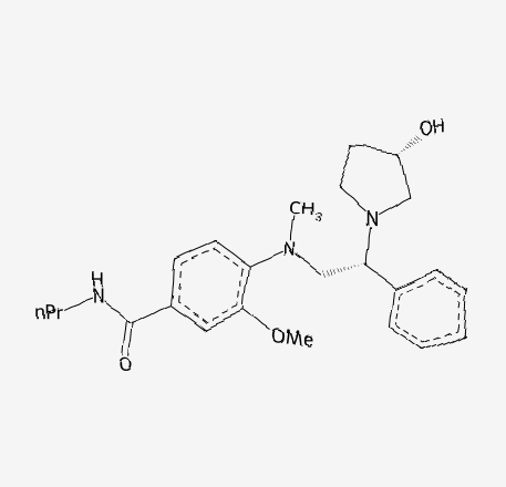 CCCNC(=O)c1ccc(N(C)C[C@@H](c2ccccc2)N2CC[C@H](O)C2)c(OC)c1